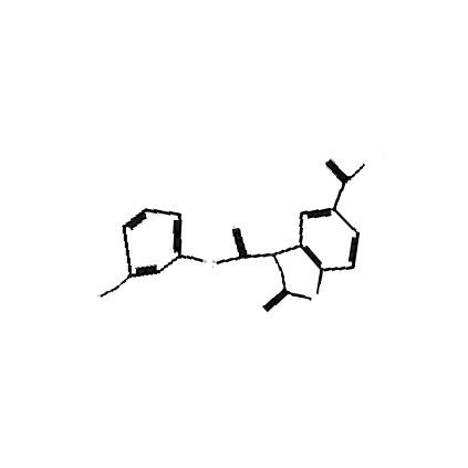 O=C(O)c1ccc2c(c1)C(C(=O)Nc1cccc(Cl)c1)C(=O)S2